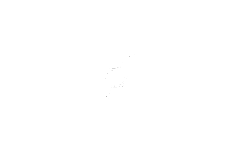 NSc1ccc(N)cc1